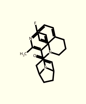 Cc1nc(F)ccc1C1=CC2CCC(C1)N2C(=O)N1CCCc2ccccc21